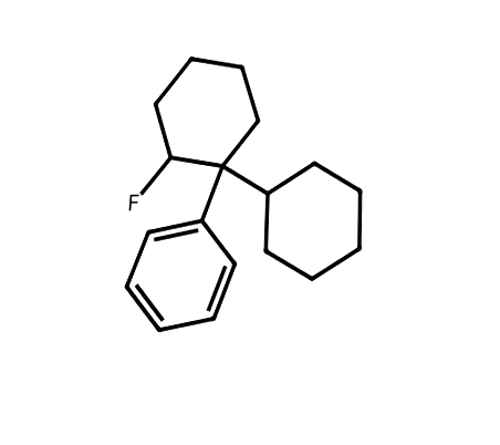 FC1CCCCC1(c1ccccc1)C1CCCCC1